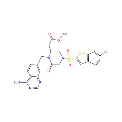 CC(C)(C)OC(=O)CC1CN(S(=O)(=O)c2cc3ccc(Cl)cc3s2)CC(=O)N1Cc1ccc2c(N)ncnc2c1